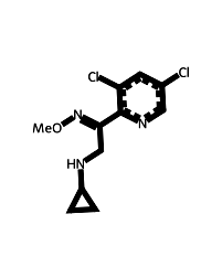 CO/N=C(\CNC1CC1)c1ncc(Cl)cc1Cl